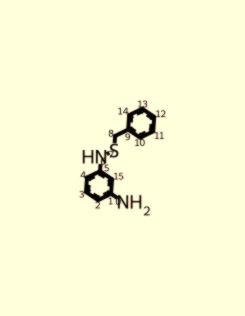 Nc1cccc(NSCc2ccccc2)c1